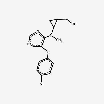 CN(c1ncncc1Oc1ccc(Cl)cc1)C1CC1CO